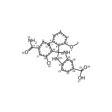 COc1cccc(F)c1C1(c2ccc(C(N)=O)cc2Cl)Nc2ccc(C(=O)O)cc2N1